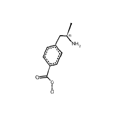 C[C@@H](N)Cc1ccc(C(=O)OCl)cc1